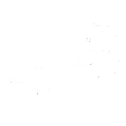 Clc1ccc(COc2cccc3cccnc23)cc1